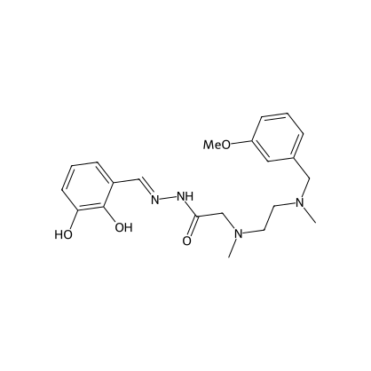 COc1cccc(CN(C)CCN(C)CC(=O)N/N=C/c2cccc(O)c2O)c1